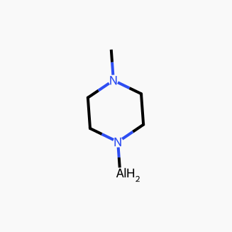 CN1CC[N]([AlH2])CC1